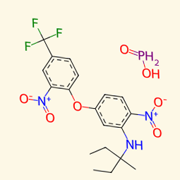 CCC(C)(CC)Nc1cc(Oc2ccc(C(F)(F)F)cc2[N+](=O)[O-])ccc1[N+](=O)[O-].O=[PH2]O